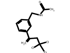 C=C(CC(Cl)(Cl)Cl)c1cccc(CNC(C)=O)c1